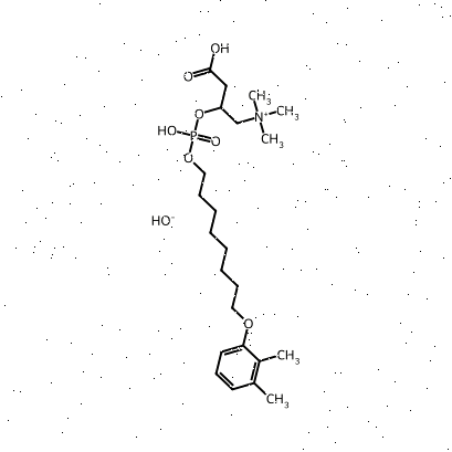 Cc1cccc(OCCCCCCCCOP(=O)(O)OC(CC(=O)O)C[N+](C)(C)C)c1C.[OH-]